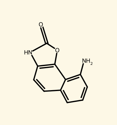 Nc1cccc2ccc3[nH]c(=O)oc3c12